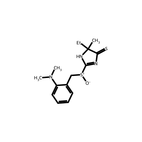 CCC1(C)NC([S+]([O-])Cc2ccccc2N(C)C)=NC1=S